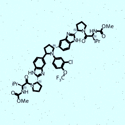 COC(=O)N[C@H](C(=O)N1CCC[C@H]1c1nc2cc(C3CC[C@H](c4ccc5[nH]c([C@@H]6CCCN6C(=O)[C@@H](NC(=O)OC)C(C)C)nc5c4)N3c3ccc(OC(F)(F)F)c(Cl)c3)ccc2[nH]1)C(C)C